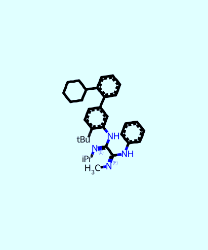 C/N=C(Nc1ccccc1)\C(=N/C(C)C)Nc1cc(-c2ccccc2C2CCCCC2)ccc1C(C)(C)C